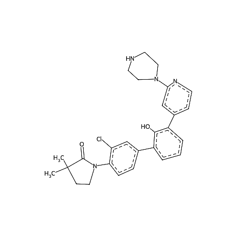 CC1(C)CCN(c2ccc(-c3cccc(-c4ccnc(N5CCNCC5)c4)c3O)cc2Cl)C1=O